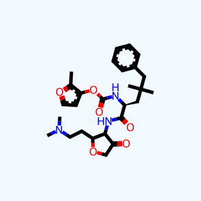 Cc1occc1OC(=O)N[C@@H](CC(C)(C)Cc1ccccc1)C(=O)NC1C(=O)COC1CCN(C)C